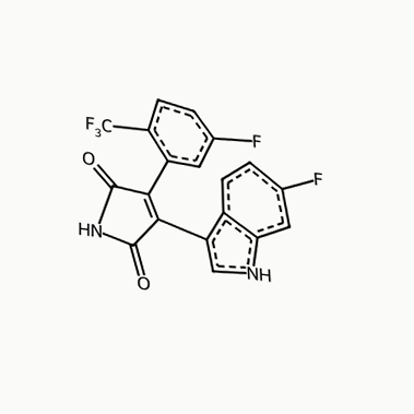 O=C1NC(=O)C(c2c[nH]c3cc(F)ccc23)=C1c1cc(F)ccc1C(F)(F)F